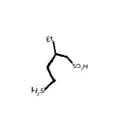 CCC(CC[SiH3])CS(=O)(=O)O